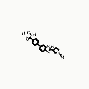 CNC(=O)c1ccc(-c2ccc3nc(C4CCN(C#N)C4)[nH]c3c2)cc1